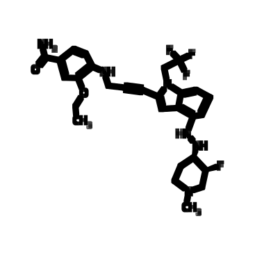 CCOc1cc(C(N)=O)ccc1NCC#Cc1cc2c(NN[C@@H]3CCN(C)C[C@@H]3F)cccc2n1CC(F)(F)F